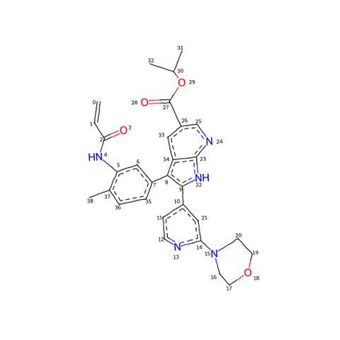 C=CC(=O)Nc1cc(-c2c(-c3ccnc(N4CCOCC4)c3)[nH]c3ncc(C(=O)OC(C)C)cc23)ccc1C